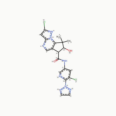 CC1(C)c2c(cnc3cc(Cl)nn23)C(C(=O)Nc2cnc(-n3nccn3)c(Cl)c2)C1O